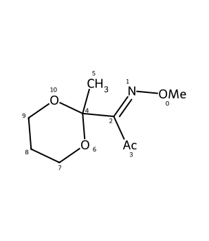 CO/N=C(\C(C)=O)C1(C)OCCCO1